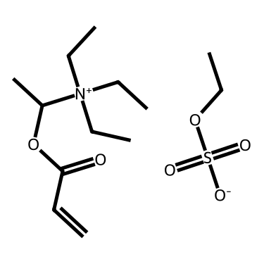 C=CC(=O)OC(C)[N+](CC)(CC)CC.CCOS(=O)(=O)[O-]